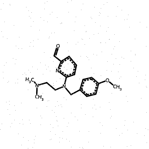 COc1ccc(CN(CCN(C)C)c2cccc(C=O)n2)cc1